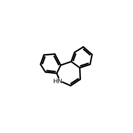 C1=Cc2ccccc2-c2ccccc2N1